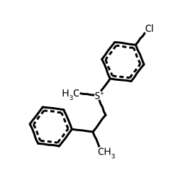 CC(C[S+](C)c1ccc(Cl)cc1)c1ccccc1